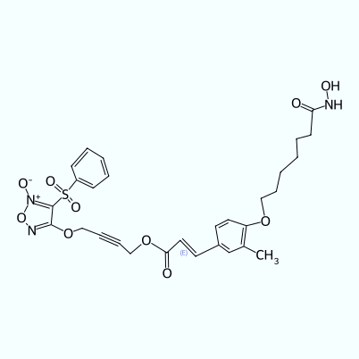 Cc1cc(/C=C/C(=O)OCC#CCOc2no[n+]([O-])c2S(=O)(=O)c2ccccc2)ccc1OCCCCCCC(=O)NO